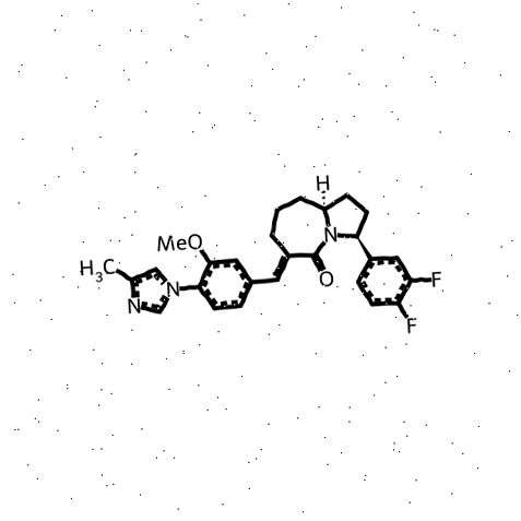 COc1cc(C=C2CCC[C@H]3CC[C@@H](c4ccc(F)c(F)c4)N3C2=O)ccc1-n1cnc(C)c1